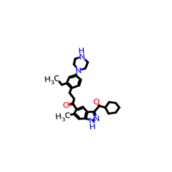 CCc1cc(N2CCNCC2)ccc1CCC(=O)c1cc2c(C(=O)C3CCCCC3)n[nH]c2cc1C